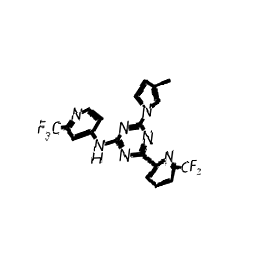 Cc1ccn(-c2nc(Nc3ccnc(C(F)(F)F)c3)nc(-c3cccc(C(F)(F)F)n3)n2)c1